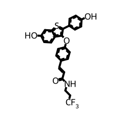 O=C(/C=C/c1ccc(Oc2c(-c3ccc(O)cc3)sc3cc(O)ccc23)cc1)NCCC(F)(F)F